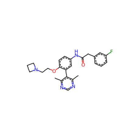 Cc1ncnc(C)c1-c1cc(NC(=O)Cc2cccc(F)c2)ccc1OCCN1CCC1